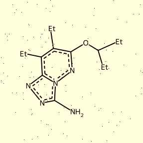 CCc1c(OC(CC)CC)nn2c(N)nnc2c1CC